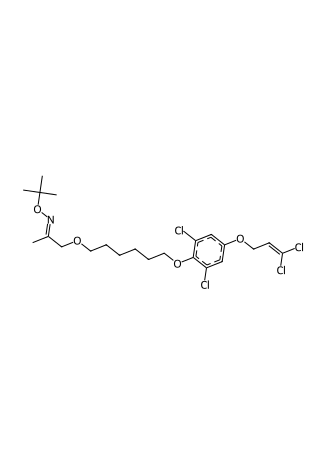 CC(COCCCCCCOc1c(Cl)cc(OCC=C(Cl)Cl)cc1Cl)=NOC(C)(C)C